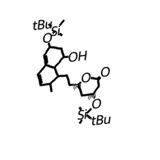 CC1C=CC2=CC(O[Si](C)(C)C(C)(C)C)CC(O)C2C1CC[C@@H]1C[C@@H](O[Si](C)(C)C(C)(C)C)CC(=O)O1